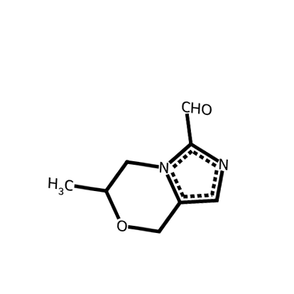 CC1Cn2c(cnc2C=O)CO1